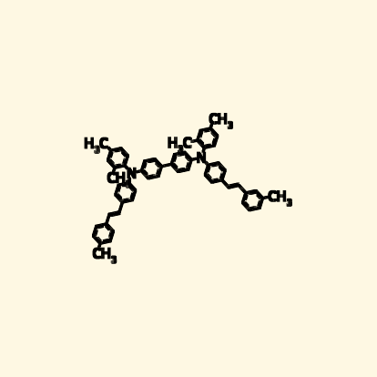 Cc1ccc(/C=C/c2ccc(N(c3ccc(-c4ccc(N(c5ccc(/C=C/c6cccc(C)c6)cc5)c5ccc(C)cc5C)cc4)cc3)c3ccc(C)cc3C)cc2)cc1